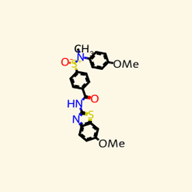 COc1ccc(N(C)[S+]([O-])c2ccc(C(=O)Nc3nc4ccc(OC)cc4s3)cc2)cc1